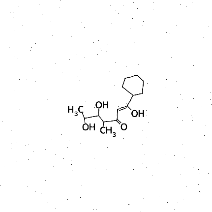 CC(O)C(O)C(C)C(=O)/C=C(\O)C1CCCCC1